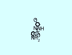 COc1ccc2[nH]c(C(=S=O)c3cccc(N)n3)nc2c1